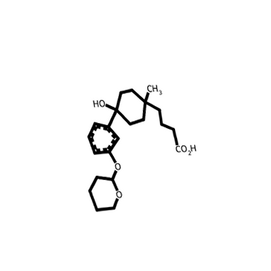 CC1(CCCC(=O)O)CCC(O)(c2cccc(OC3CCCCO3)c2)CC1